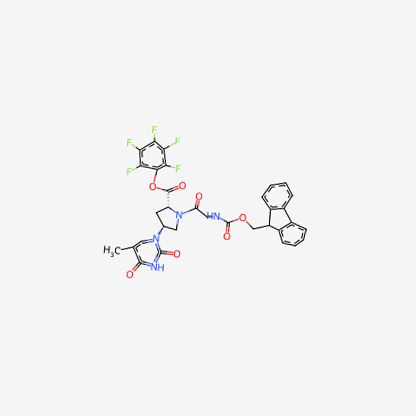 Cc1cn([C@H]2C[C@H](C(=O)Oc3c(F)c(F)c(F)c(F)c3F)N(C(=O)CNC(=O)OCC3c4ccccc4-c4ccccc43)C2)c(=O)[nH]c1=O